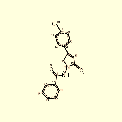 O=C(NN1CC(c2ccc(Cl)cc2)=CC1=O)c1ccccc1